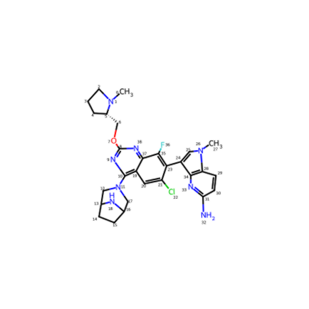 CN1CCC[C@H]1COc1nc(N2CC3CCC(C2)N3)c2cc(Cl)c(-c3cn(C)c4ccc(N)nc34)c(F)c2n1